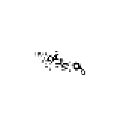 CC(CCOc1ccc(CCl)cc1)C(=O)NC1C(=O)N2C1SC(C)(C)C2C(=O)O